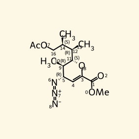 COC(=O)C1=C[C@H](N=[N+]=[N-])[C@@H](C)[C@H]([C@H](C)[C@H](C)COC(C)=O)O1